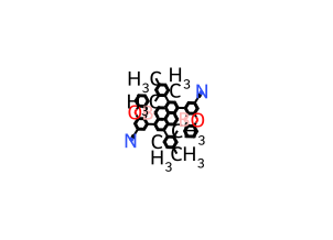 Cc1cc(C)c(-c2cc3c4c(cc5c(-c6c(C)cc(C)cc6C)cc6c7c(cc2c4c57)B2c4ccccc4Oc4cc(C#N)cc-6c42)B2c4ccccc4Oc4cc(C#N)cc-3c42)c(C)c1